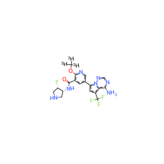 [2H]C([2H])([2H])Oc1ncc(-c2cc(C(F)(F)F)c3c(N)ncnn23)cc1C(=O)N[C@@H]1CNC[C@@H]1F